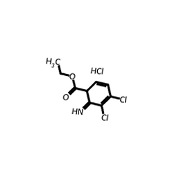 CCOC(=O)C1C=CC(Cl)=C(Cl)C1=N.Cl